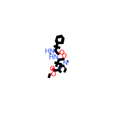 CCOC(=O)/C(C)=C/[C@H](CC)N(C)C(=O)C(NC(=O)C(NC)C(C)(C)c1ccccc1)C(C)(C)C